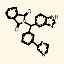 O=C1c2ccccc2C(=O)N1C(c1cccc(-c2cnccn2)c1)c1ccc2[nH]cnc2c1